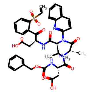 C=CS(=O)(=O)c1ccccc1C(=O)[C@H](CC(=O)O)NC(=O)[C@H](C(C)C)N(C(=O)[C@H](C)NC(=O)[C@H](CC(=O)O)NC(=O)OCc1ccccc1)c1ccc2ccccc2n1